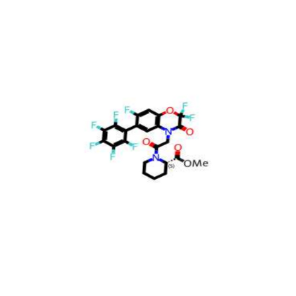 COC(=O)[C@@H]1CCCCN1C(=O)CN1C(=O)C(F)(F)Oc2cc(F)c(-c3c(F)c(F)c(F)c(F)c3F)cc21